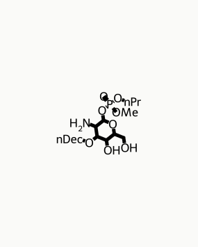 CCCCCCCCCCOC1C(N)C(OP(=O)(OC)OCCC)OC(CO)C1O